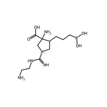 N=C(NCCN)N1CC(CCCB(O)O)C(N)(C(=O)O)C1